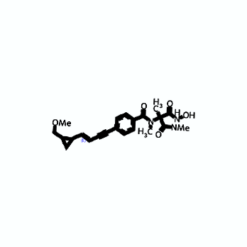 CNC(=O)C(C)(C(=O)NO)N(C)C(=O)c1ccc(C#C/C=C/C2CC2COC)cc1